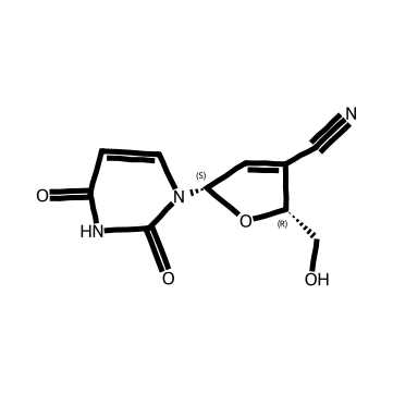 N#CC1=C[C@@H](n2ccc(=O)[nH]c2=O)O[C@H]1CO